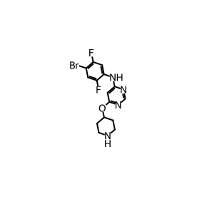 Fc1cc(Nc2cc(OC3CCNCC3)ncn2)c(F)cc1Br